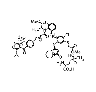 CCc1cccc(C)c1N(C(=O)CCl)C(C)COC.COC(=O)CSc1cc(/N=c2\sc(=O)n3n2CCCC3)c(F)cc1Cl.CP(=O)(O)CCC(N)C(=O)O.CS(=O)(=O)c1cc(C(F)(F)F)ccc1C(=O)c1cnoc1C1CC1